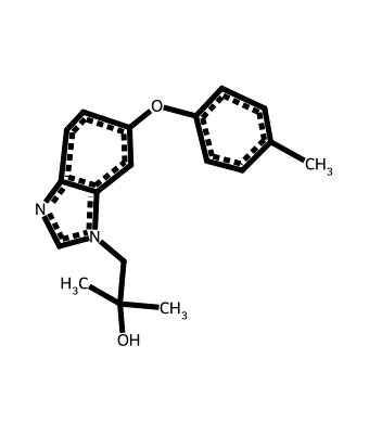 Cc1ccc(Oc2ccc3ncn(CC(C)(C)O)c3c2)cc1